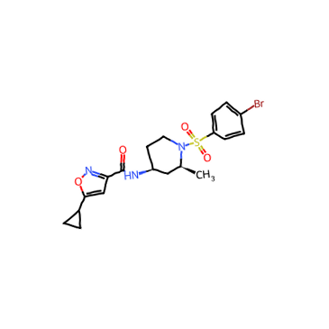 C[C@H]1C[C@@H](NC(=O)c2cc(C3CC3)on2)CCN1S(=O)(=O)c1ccc(Br)cc1